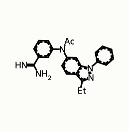 CCc1nn(-c2ccccc2)c2cc(N(C(C)=O)c3cccc(C(=N)N)c3)ccc12